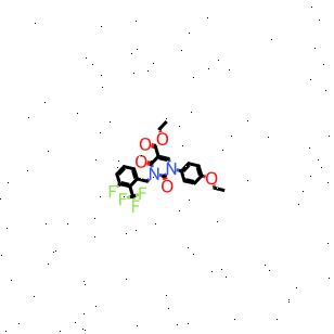 CCOC(=O)c1cn(-c2ccc(OCC)cc2)c(=O)n(Cc2cccc(F)c2C(F)(F)F)c1=O